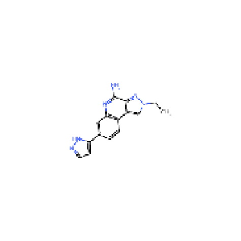 CCn1cc2c(n1)c(N)nc1cc(-c3ccn[nH]3)ccc12